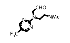 CNCCN(CC=O)c1ncc(C(F)(F)F)cn1